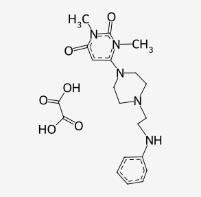 Cn1c(N2CCN(CCNc3ccccc3)CC2)cc(=O)n(C)c1=O.O=C(O)C(=O)O